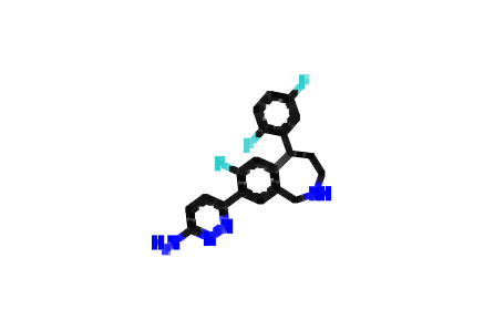 Nc1ccc(-c2cc3c(cc2F)C(c2cc(F)ccc2F)CCNC3)nn1